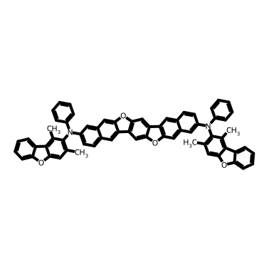 Cc1cc2oc3ccccc3c2c(C)c1N(c1ccccc1)c1ccc2cc3c(cc2c1)oc1cc2c(cc13)oc1cc3cc(N(c4ccccc4)c4c(C)cc5oc6ccccc6c5c4C)ccc3cc12